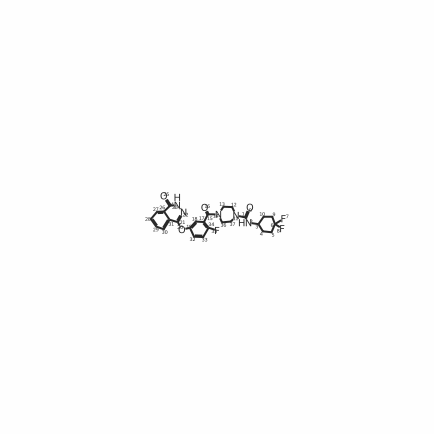 O=C(NC1CCC(F)(F)CC1)N1CCN(C(=O)c2cc(Oc3n[nH]c(=O)c4ccccc34)ccc2F)CC1